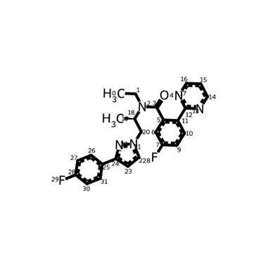 CCN(C(=O)c1cc(F)ccc1-c1ncccn1)[C@H](C)Cn1ccc(-c2ccc(F)cc2)n1